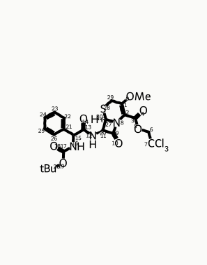 COC1=C(C(=O)OCC(Cl)(Cl)Cl)N2C(=O)[C@@H](NC(=O)C(NC(=O)OC(C)(C)C)c3ccccc3)[C@H]2SC1